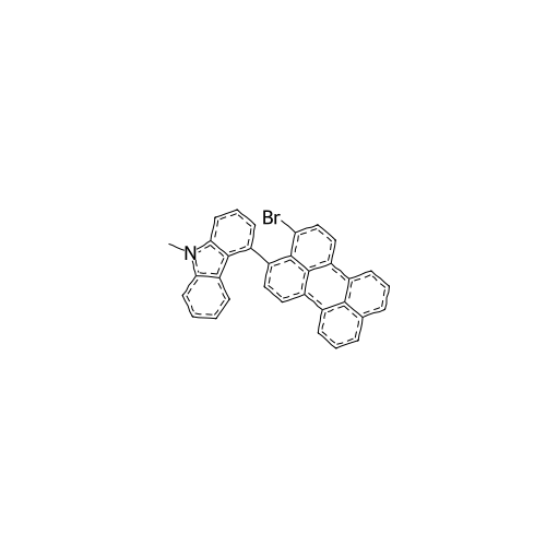 Cn1c2ccccc2c2c(-c3ccc4c5cccc6cccc(c7ccc(Br)c3c74)c65)cccc21